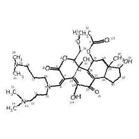 COCC1OC(=O)/C(=C\N(CCCN(C)C)CCCN(C)C)C2=C(O)C(=O)C3=C(C(OC(C)=O)CC4(C)C(O)CCC34)C21C